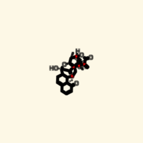 C=C1C(=O)O[C@@H]2C[C@@]1(C)C1C(=O)[C@]3(O)O[C@@]14[C@@](O)(CCC1C3CC=C3CC=CC(=O)[C@@]31C)C(=O)O[C@@]24C